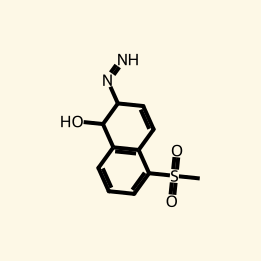 CS(=O)(=O)c1cccc2c1C=CC(N=N)C2O